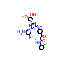 N[C@@H]1C[C@H](N)CN(c2nc(Nc3ccc(C(=O)CC(=O)Nc4ccccc4Cl)cc3)nc(N3C[C@@H](O)[C@@H](O)C3)n2)C1